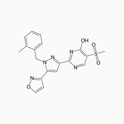 Cc1ccccc1Cn1nc(-c2ncc(S(C)(=O)=O)c(O)n2)cc1-c1ccon1